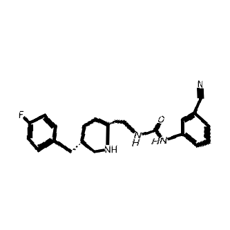 N#Cc1cccc(NC(=O)NC[C@@H]2CC[C@@H](Cc3ccc(F)cc3)CN2)c1